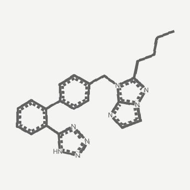 CCCCc1nn2ccnc2n1Cc1ccc(-c2ccccc2-c2nnn[nH]2)cc1